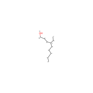 CCCCCC(CC)CCCO